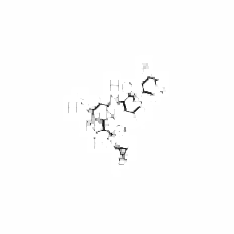 CNc1cc(Nc2cccn(-c3cncc(F)c3)c2=O)nc2c(C(=O)N[C@@H]3C[C@@H]3F)cnn12